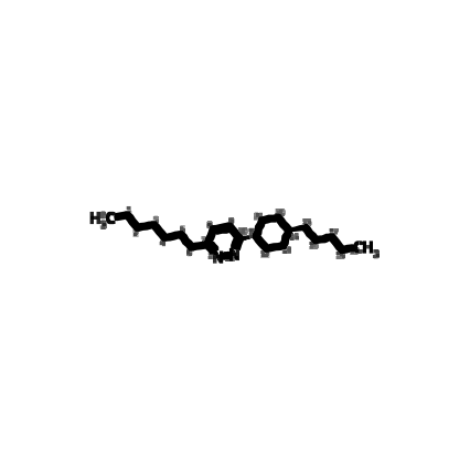 CCCCCCCc1ccc([C@H]2CC[C@H](CCCCC)CC2)nn1